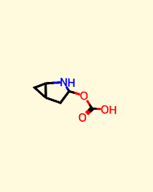 O=C(O)OC1CC2CC2N1